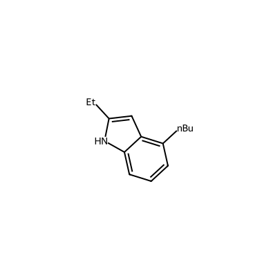 CCCCc1cccc2[nH]c(CC)cc12